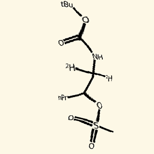 [2H]C([2H])(NC(=O)OC(C)(C)C)C(CCC)OS(C)(=O)=O